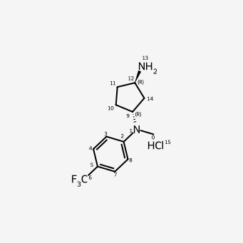 CN(c1ccc(C(F)(F)F)cc1)[C@@H]1CC[C@@H](N)C1.Cl